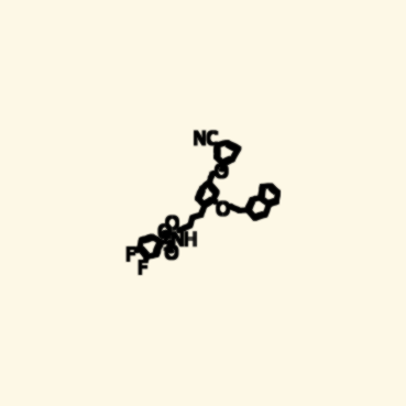 N#Cc1cccc(OCc2ccc(CCCC(=O)NS(=O)(=O)c3ccc(F)c(F)c3)c(OCCc3ccc4ccccc4c3)c2)c1